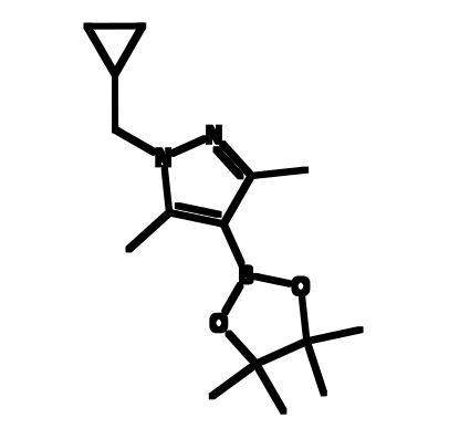 Cc1nn(CC2CC2)c(C)c1B1OC(C)(C)C(C)(C)O1